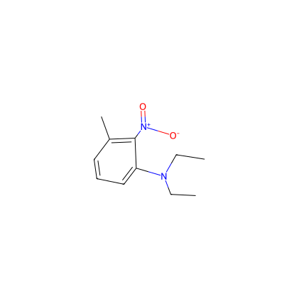 CCN(CC)c1cccc(C)c1[N+](=O)[O-]